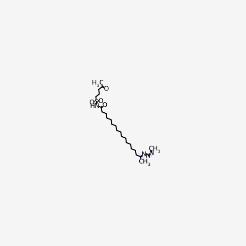 C/N=N\N=C(/C)CCCCCCCCCCCCCCCC(=O)NS(=O)(=O)CCCC(C)=O